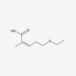 [CH2]COCCC=C(C)C(=O)O